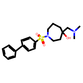 CN(C)CC1(O)CCCN(S(=O)(=O)c2ccc(-c3ccccc3)cc2)CC1